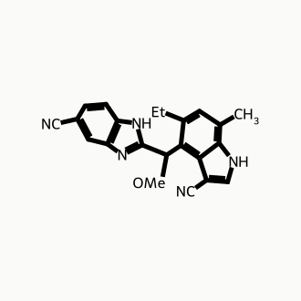 CCc1cc(C)c2[nH]cc(C#N)c2c1C(OC)c1nc2cc(C#N)ccc2[nH]1